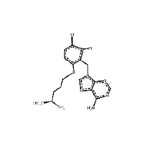 CCOC(=O)[C@H](N)CCCOc1ccc(Cl)c(Cl)c1Cn1cnc2c(N)ncnc21